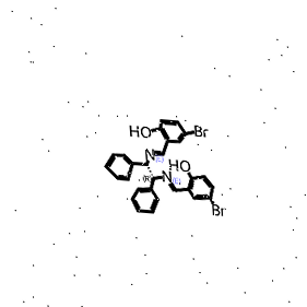 Oc1ccc(Br)cc1/C=N/C(c1ccccc1)[C@H](/N=C/c1cc(Br)ccc1O)c1ccccc1